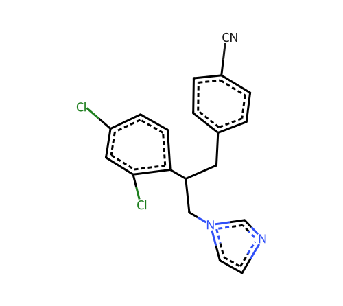 N#Cc1ccc(CC(Cn2ccnc2)c2ccc(Cl)cc2Cl)cc1